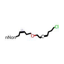 CCCCCCCCCC/C=C\CCOCC=C=CCCCCl